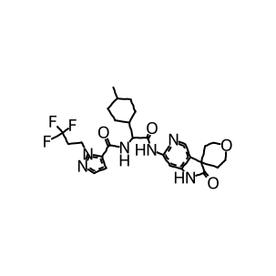 CC1CCC(C(NC(=O)c2ccnn2CCC(F)(F)F)C(=O)Nc2cc3c(cn2)C2(CCOCC2)C(=O)N3)CC1